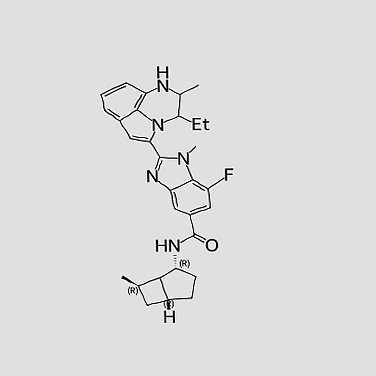 CCC1C(C)Nc2cccc3cc(-c4nc5cc(C(=O)N[C@@H]6CC[C@@H]7C[C@@H](C)C76)cc(F)c5n4C)n1c23